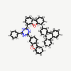 c1ccc(-c2nc(-c3ccc4c(c3)oc3ccccc34)nc(-c3cccc4c3oc3c(-c5ccc6c7ccccc7c7ccccc7c6c5)cccc34)n2)cc1